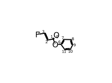 O=C(C=CF)Oc1ccccc1